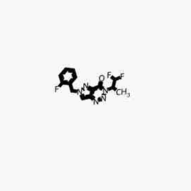 CC(C(F)F)n1nnc2cn(Cc3ccccc3F)nc2c1=O